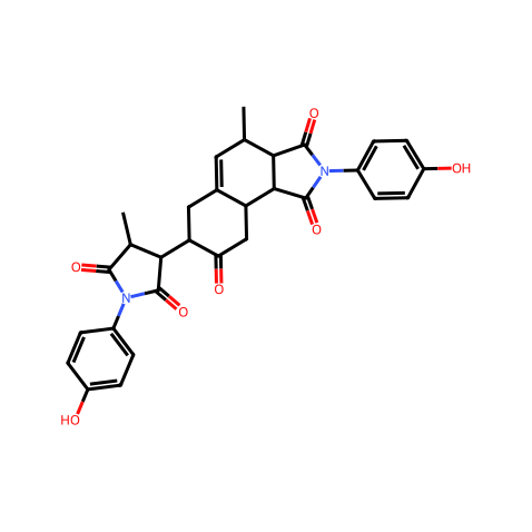 CC1C=C2CC(C3C(=O)N(c4ccc(O)cc4)C(=O)C3C)C(=O)CC2C2C(=O)N(c3ccc(O)cc3)C(=O)C12